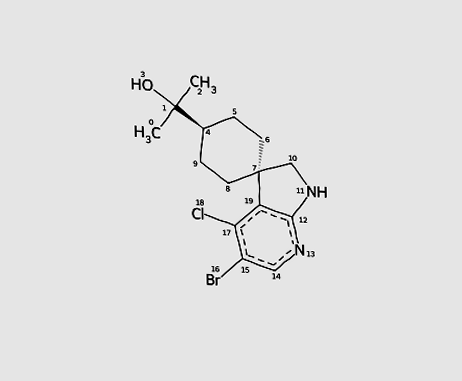 CC(C)(O)[C@H]1CC[C@]2(CC1)CNc1ncc(Br)c(Cl)c12